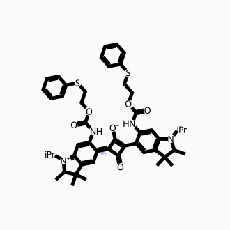 CC(C)N1c2cc(NC(=O)OCCSc3ccccc3)c(C3=C([O-])/C(=c4/cc5c(cc4NC(=O)OCCSc4ccccc4)=[N+](C(C)C)C(C)C5(C)C)C3=O)cc2C(C)(C)C1C